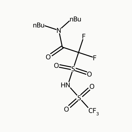 CCCCN(CCCC)C(=O)C(F)(F)S(=O)(=O)NS(=O)(=O)C(F)(F)F